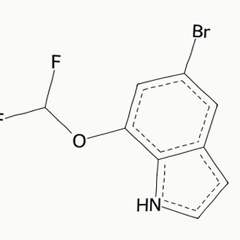 FC(F)Oc1cc(Br)cc2cc[nH]c12